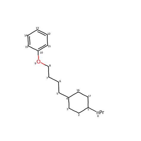 CCCC1CCC(CCCCOc2ccccc2)CC1